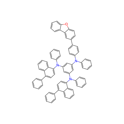 c1ccc(-c2ccc(N(c3ccccc3)c3cc(N(c4ccccc4)c4ccc(-c5ccc6oc7ccccc7c6c5)cc4)cc(N(c4ccccc4)c4ccc(-c5ccccc5)c5ccccc45)c3)c3ccccc23)cc1